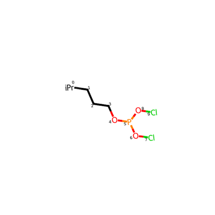 CC(C)CCCOP(OCl)OCl